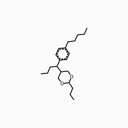 CCCCCc1ccc(C(CCC)C2COC(CCC)OC2)cc1